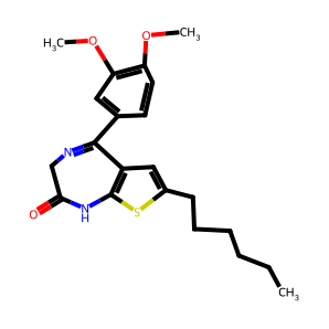 CCCCCCc1cc2c(s1)NC(=O)CN=C2c1ccc(OC)c(OC)c1